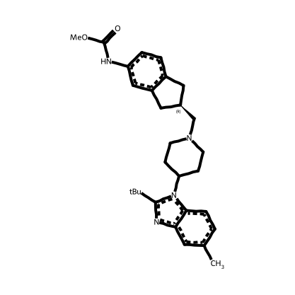 COC(=O)Nc1ccc2c(c1)C[C@H](CN1CCC(n3c(C(C)(C)C)nc4cc(C)ccc43)CC1)C2